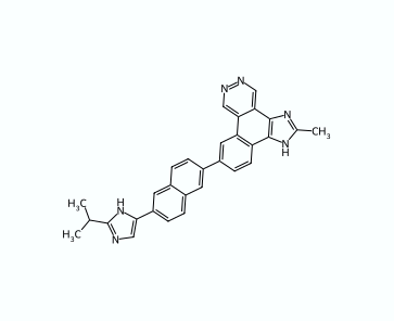 Cc1nc2c3cnncc3c3cc(-c4ccc5cc(-c6cnc(C(C)C)[nH]6)ccc5c4)ccc3c2[nH]1